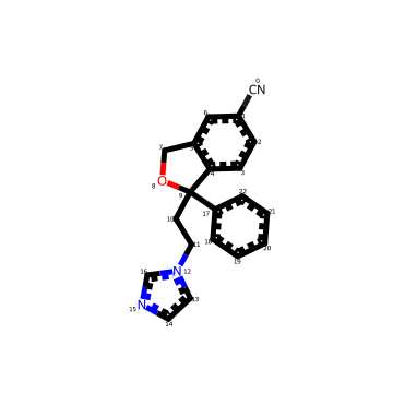 N#Cc1ccc2c(c1)COC2(CCn1ccnc1)c1ccccc1